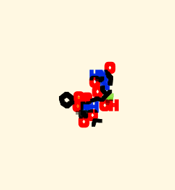 CC(C)OC(=O)[C@H](C)NP(=O)(OCC1OC(n2ccc(=O)[nH]c2=O)C(C)(F)C1O)Oc1ccccc1